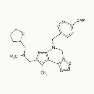 COc1ccc(CN2Cn3ncnc3-c3c2sc(CN(C)CC2CCCO2)c3C)cc1